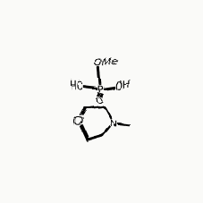 CN1CCOCC1.COP(=O)(O)O